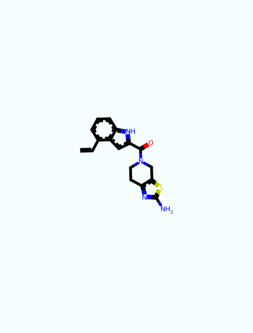 C=Cc1cccc2[nH]c(C(=O)N3CCc4nc(N)sc4C3)cc12